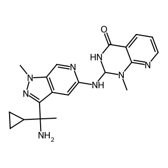 CN1c2ncccc2C(=O)NC1Nc1cc2c(C(C)(N)C3CC3)nn(C)c2cn1